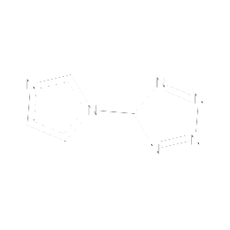 c1cn(C2N=NN=N2)cn1